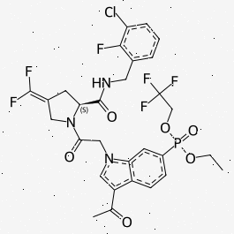 CCOP(=O)(OCC(F)(F)F)c1ccc2c(C(C)=O)cn(CC(=O)N3CC(=C(F)F)C[C@H]3C(=O)NCc3cccc(Cl)c3F)c2c1